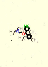 Cc1cc(C)c(C(OCCN(C)C)c2ccccc2)c(C)c1.Cl